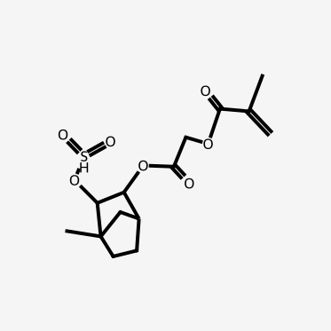 C=C(C)C(=O)OCC(=O)OC1C2CCC(C)(C2)C1O[SH](=O)=O